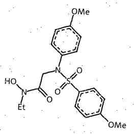 CCN(O)C(=O)CN(c1ccc(OC)cc1)S(=O)(=O)c1ccc(OC)cc1